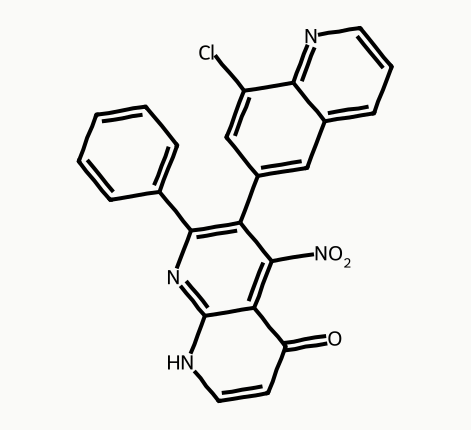 O=c1cc[nH]c2nc(-c3ccccc3)c(-c3cc(Cl)c4ncccc4c3)c([N+](=O)[O-])c12